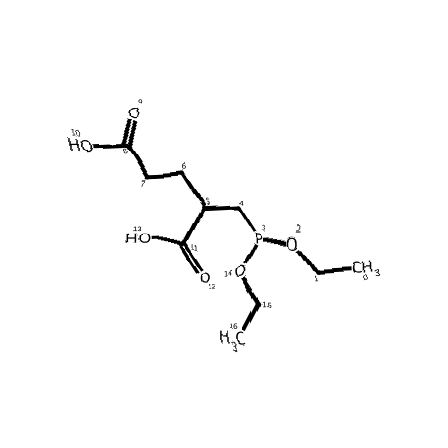 CCOP(CC(CCC(=O)O)C(=O)O)OCC